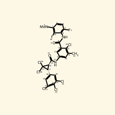 CNc1ccc(F)c(NC(=O)c2cc(NC(=O)[C@H]3[C@H](c4cc(Cl)c(Cl)c(Cl)c4)C3(Cl)Cl)cc(C)c2Cl)c1F